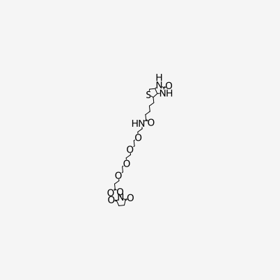 O=C(CCCCC1SCC2NC(=O)NC21)NCCOCCOCCOCCOCCC(=O)ON1C(=O)CCC1=O